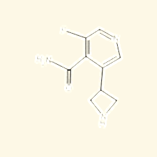 NC(=O)c1c(F)cncc1C1CNC1